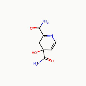 NC(=O)C1=NC=CC(O)(C(N)=O)C1